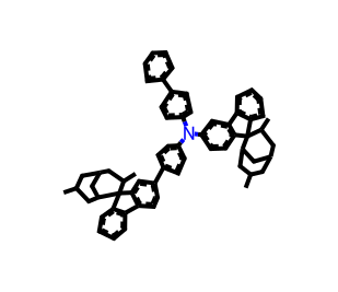 CC1CC2CC(C)C3(c4ccccc4-c4cc(N(c5ccc(-c6ccccc6)cc5)c5ccc(-c6ccc7c(c6)C6(c8ccccc8-7)C(C)CC7CC(C)CC6C7)cc5)ccc43)C(C1)C2